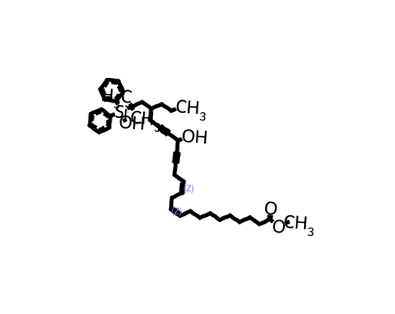 CCCC(CC#CC(O)C#CC/C=C\C/C=C\CCCCCCCCC(=O)OC)CC(C)(C)[Si](O)(c1ccccc1)c1ccccc1